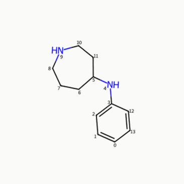 c1ccc(NC2CCCNCC2)cc1